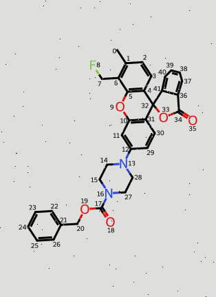 Cc1ccc2c(c1CF)Oc1cc(N3CCN(C(=O)OCc4ccccc4)CC3)ccc1C21OC(=O)c2ccccc21